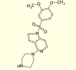 COc1ccc(S(=O)(=O)n2ccc3c(N4CCNCC4)nccc32)cc1OC